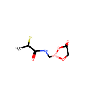 CC(S)C(=O)NCB1OCC(=O)O1